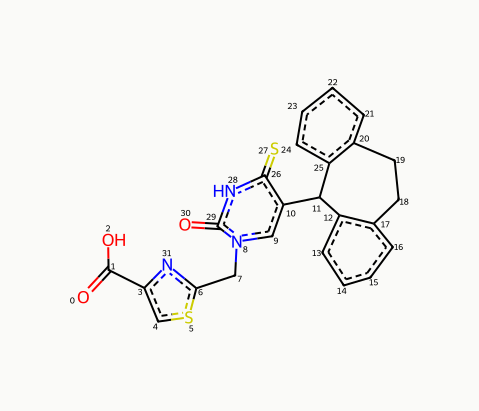 O=C(O)c1csc(Cn2cc(C3c4ccccc4CCc4ccccc43)c(=S)[nH]c2=O)n1